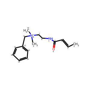 CC=CC(=O)NCC[N+](C)(C)Cc1ccccc1